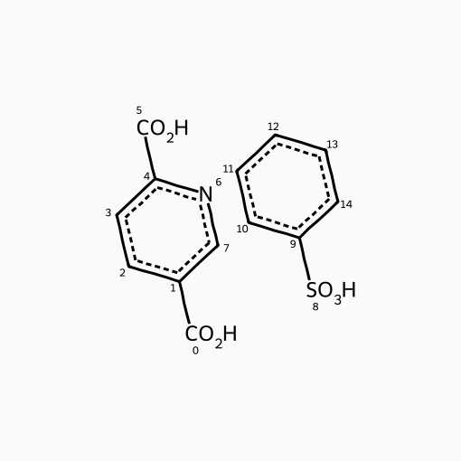 O=C(O)c1ccc(C(=O)O)nc1.O=S(=O)(O)c1ccccc1